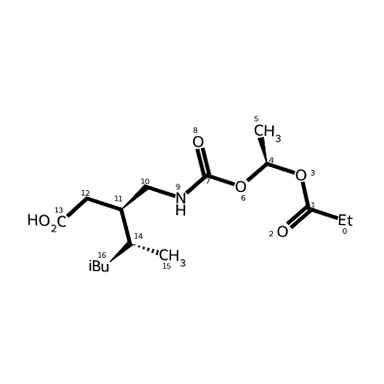 CCC(=O)O[C@H](C)OC(=O)NC[C@H](CC(=O)O)[C@H](C)[C@H](C)CC